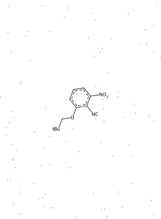 [C-]#[N+]c1c(OCC(C)(C)C)cccc1[N+](=O)[O-]